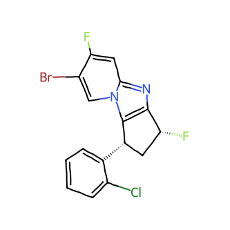 Fc1cc2nc3c(n2cc1Br)[C@@H](c1ccccc1Cl)C[C@H]3F